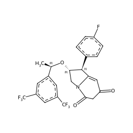 C[C@@H](O[C@H]1CN2C(=O)CC(=O)C=C2[C@@H]1c1ccc(F)cc1)c1cc(C(F)(F)F)cc(C(F)(F)F)c1